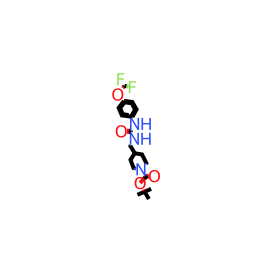 CC(C)(C)OC(=O)N1CCC(CNC(=O)Nc2ccc(OC(F)F)cc2)CC1